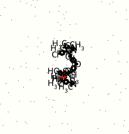 Cc1ncsc1-c1ccc([C@H](C)NC(=O)[C@@H]2C[C@@H](O)CN2C(=O)C(NC(=O)CN2CCC(C(=O)N3CCN(C(=O)C[C@@H]4N=C(c5ccc(Cl)cc5)c5c(sc(C)c5C)-n5c(C)nnc54)CC3)CC2)C(C)(C)C)cc1